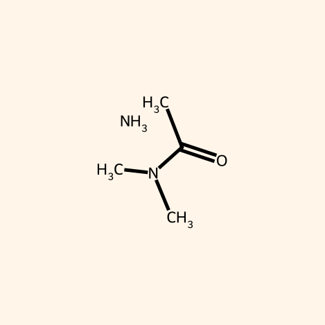 CC(=O)N(C)C.N